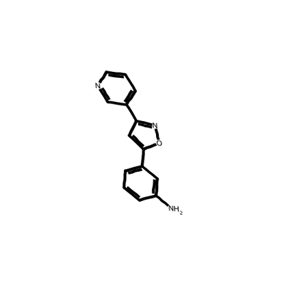 Nc1cccc(-c2cc(-c3cccnc3)no2)c1